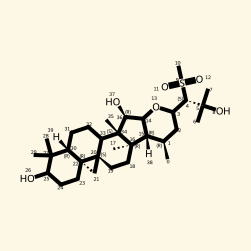 C[C@@H]1CC([C@@H](C(C)(C)O)S(C)(=O)=O)OC2[C@H]1[C@@]1(C)CC[C@@]34C[C@@]35CCC(O)C(C)(C)[C@@H]5CCC4[C@]1(C)[C@H]2O